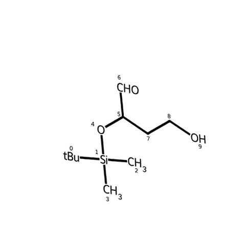 CC(C)(C)[Si](C)(C)OC(C=O)CCO